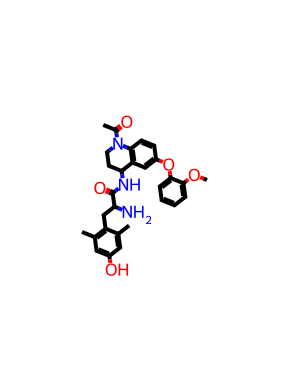 COc1ccccc1Oc1ccc2c(c1)C(NC(=O)C(N)Cc1c(C)cc(O)cc1C)CCN2C(C)=O